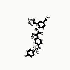 N#Cc1ccc(NC(=O)c2noc3cc(NS(=O)(=O)c4ccc(F)cc4)ccc23)c(-c2nnn[nH]2)c1